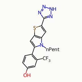 CCCCCn1c(-c2ccc(O)cc2C(F)(F)F)cc2sc(-c3nn[nH]n3)cc21